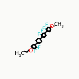 CCCCOc1ccc(C2=CCC(c3ccc(-c4ccc(OCC)c(F)c4F)c(F)c3F)CC2)c(F)c1F